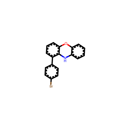 Brc1ccc(-c2cccc3c2Nc2ccccc2O3)cc1